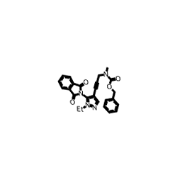 CCn1ncc(C#CCN(C)C(=O)OCc2ccccc2)c1N1C(=O)c2ccccc2C1=O